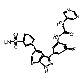 NS(=O)(=O)c1cccc(-c2cnc3[nH]nc(-c4cc(F)cc(NC(=O)Nc5cncnc5)c4)c3c2)c1